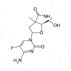 CC1(C(N)=O)CC(n2cc(F)c(N)nc2=O)O[C@@H]1CO